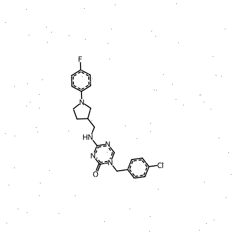 O=c1nc(NCC2CCN(c3ccc(F)cc3)C2)ncn1Cc1ccc(Cl)cc1